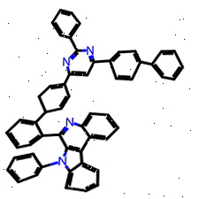 C1=CC(c2ccccc2-c2nc3ccccc3c3c4ccccc4n(-c4ccccc4)c23)CC=C1c1cc(-c2ccc(-c3ccccc3)cc2)nc(-c2ccccc2)n1